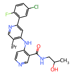 CC(O)CNC(=O)c1cnccc1Nc1cc(-c2cc(Cl)ccc2F)ncc1C(C)C